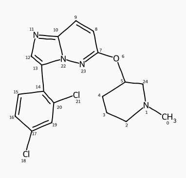 CN1CCCC(Oc2ccc3ncc(-c4ccc(Cl)cc4Cl)n3n2)C1